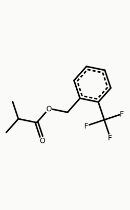 CC(C)C(=O)OCc1ccccc1C(F)(F)F